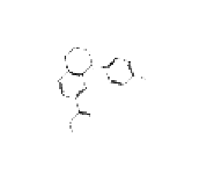 CNC(=O)c1ccc2c(c1)[C@H](c1ccc(F)cc1)NCC2